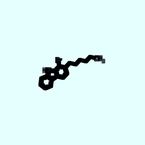 CCCCCCc1ccc2c([nH]c3ccccc32)c1Br